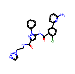 Nc1cccc(-c2ccc(Cl)c(C(=O)Nc3cc(C(=O)NCCn4ccnn4)nn3-c3ccccc3)c2)n1